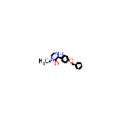 CCN1CCNC(c2ccc(OCc3ccccc3)cc2)C1=O